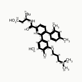 Cc1ccc(-c2ccc(C(=O)N[C@@H](CC(=O)O)C(C)(C)C)nc2-c2ccc(Cl)c(OCCCN(C)C)c2)c(C)c1.Cl